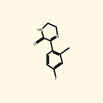 Cc1cc(F)ccc1C1=NCCNC1=O